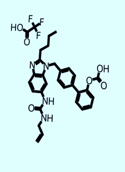 C=CCNC(=O)Nc1ccc2nc(CCCC)n(Cc3ccc(-c4ccccc4OC(=O)O)cc3)c2c1.O=C(O)C(F)(F)F